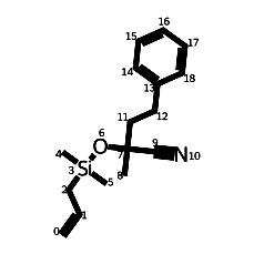 C=CC[Si](C)(C)OC(C)(C#N)CCc1ccccc1